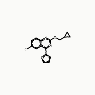 Clc1ccc2nc(OCC3CC3)nc(-c3cccs3)c2c1